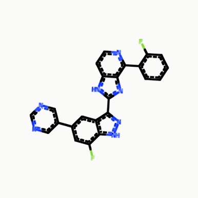 Fc1ccccc1-c1nccc2[nH]c(-c3n[nH]c4c(F)cc(-c5cncnc5)cc34)nc12